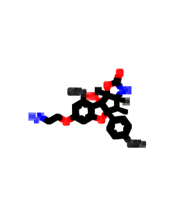 COc1ccc([C@@]23Oc4cc(OCCN)cc(OC)c4[C@]2(O)[C@@H]2OC(=O)N[C@@H]2[C@H]3C)cc1